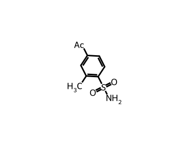 CC(=O)c1ccc(S(N)(=O)=O)c(C)c1